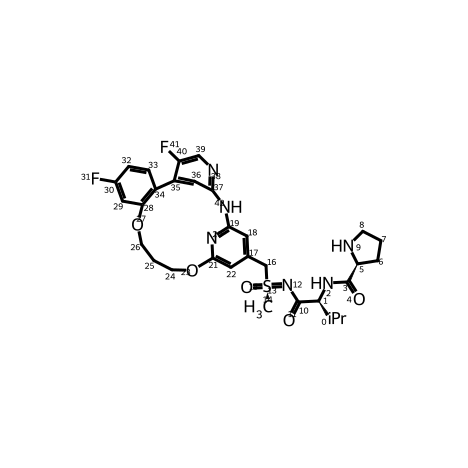 CC(C)[C@H](NC(=O)[C@@H]1CCCN1)C(=O)N=[S@](C)(=O)Cc1cc2nc(c1)OCCCOc1cc(F)ccc1-c1cc(ncc1F)N2